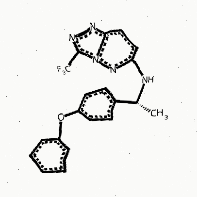 C[C@@H](Nc1ccc2nnc(C(F)(F)F)n2n1)c1ccc(Oc2ccccc2)cc1